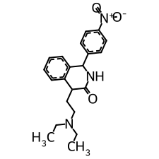 CCN(CC)CCC1C(=O)NC(c2ccc([N+](=O)[O-])cc2)c2ccccc21